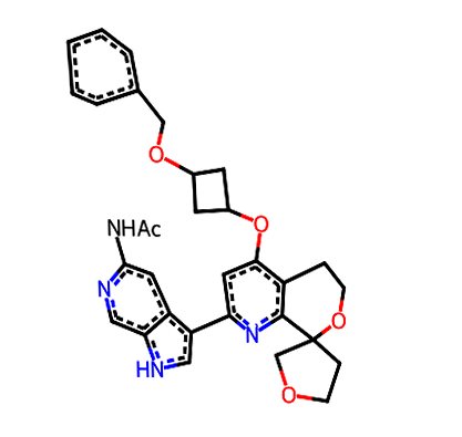 CC(=O)Nc1cc2c(-c3cc(OC4CC(OCc5ccccc5)C4)c4c(n3)C3(CCOC3)OCC4)c[nH]c2cn1